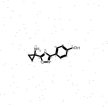 CCCCCCCCc1ccc(-c2noc(C3(N)CC3)n2)cc1